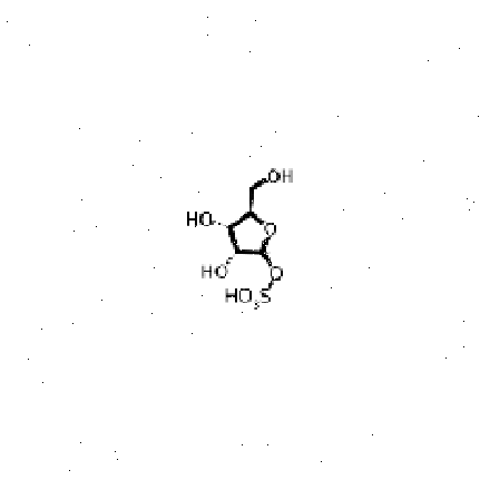 O=S(=O)(O)O[C]1O[C@H](CO)[C@@H](O)[C@H]1O